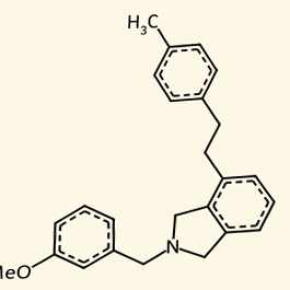 COc1cccc(CN2Cc3cccc(CCc4ccc(C)cc4)c3C2)c1